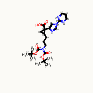 CC(C)(C)OC(=O)N(CCCC1CC1(C(=O)O)c1cn(-c2ncccn2)cn1)C(=O)OC(C)(C)C